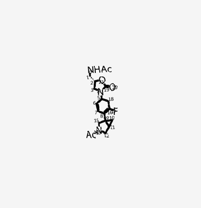 CC(=O)NC[C@H]1CN(C2C=CC(C34CC3CN(C(C)=O)C4)=C(F)C2)C(=O)O1